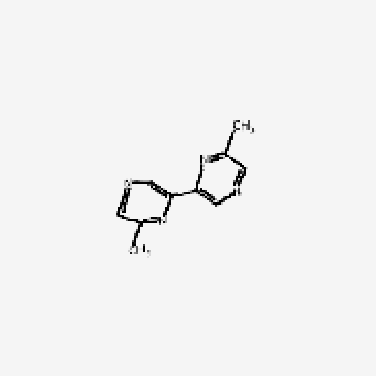 Cc1cncc(-c2cncc(C)n2)n1